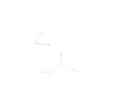 CC(C)(C)C(CC1CC1)C(=O)O